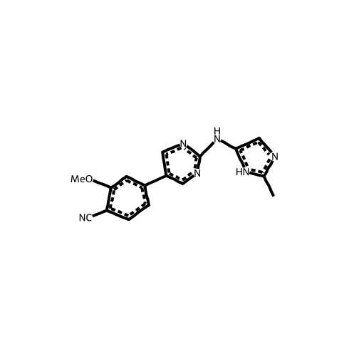 COc1cc(-c2cnc(Nc3cnc(C)[nH]3)nc2)ccc1C#N